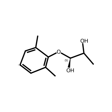 Cc1c[c]cc(C)c1O[C@H](O)C(C)O